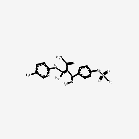 CCS(=O)(=O)Nc1ccc(C(=N/N)/C(C(N)=O)=C(\C)Nc2ccc(C(F)(F)F)cn2)cc1